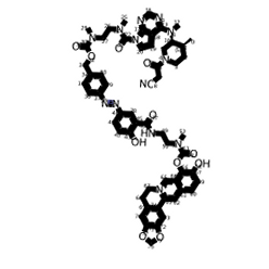 C[C@H]1CCN(C(=O)CC#N)C[C@H]1N(C)c1ncnc2c1ccn2C(=O)N(C)CCN(C)C(=O)OCc1ccc(/N=N/c2ccc(O)c(C(=O)NCCN(C)C(=O)Oc3c(O)ccc4cc5[n+](cc34)CCc3cc4c(cc3-5)OCO4)c2)cc1